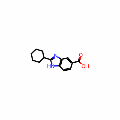 O=C(O)c1ccc2[nH]c(C3CCCCC3)nc2c1